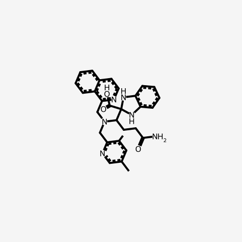 Cc1cnc(CN(Cc2nccc3ccccc23)C(CCC(N)=O)C2(C(=O)O)Nc3ccccc3N2)c(C)c1